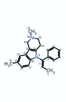 C/C=C(\c1ccccc1)n1c2c(c3cc(C)ccc31)CN(C)CC2